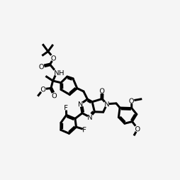 COC(=O)C(C)(NC(=O)OC(C)(C)C)c1ccc(Cc2nc(-c3c(F)cccc3F)nc3c2C(=O)N(Cc2ccc(OC)cc2OC)C3)cc1